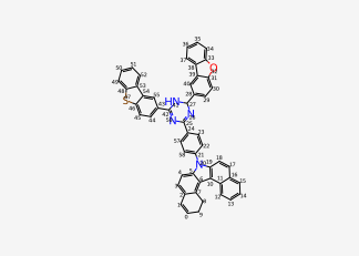 C1=Cc2ccc3c(c2CC1)c1c2ccccc2ccc1n3-c1ccc(C2=NC(c3ccc4oc5ccccc5c4c3)NC(c3ccc4sc5ccccc5c4c3)=N2)cc1